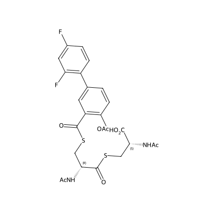 CC(=O)N[C@H](CSC(=O)[C@@H](CSC(=O)c1cc(-c2ccc(F)cc2F)ccc1OC(C)=O)NC(C)=O)C(=O)O